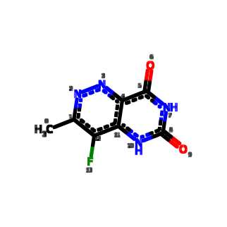 Cc1nnc2c(=O)[nH]c(=O)[nH]c2c1F